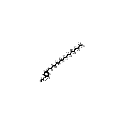 C[CH]Oc1ccc(CCCCCCCCCCCCCCCCCC)cc1